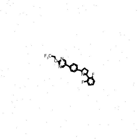 Fc1cccc(F)c1C1=NC(c2ccc(-c3cnc(OCC(F)(F)F)nc3)cc2)CC1